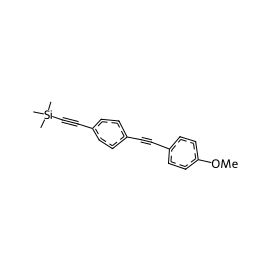 COc1ccc(C#Cc2ccc(C#C[Si](C)(C)C)cc2)cc1